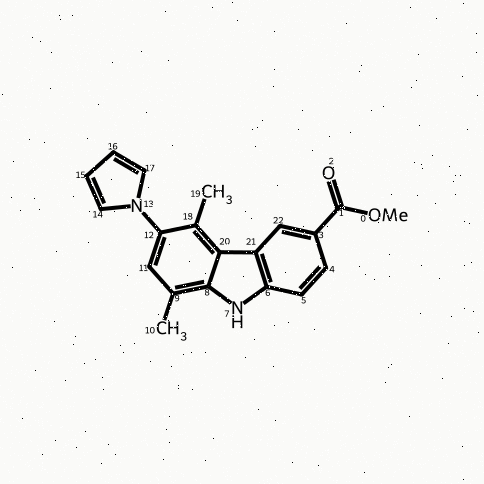 COC(=O)c1ccc2[nH]c3c(C)cc(-n4cccc4)c(C)c3c2c1